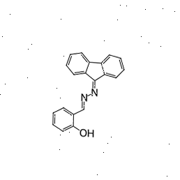 Oc1ccccc1C=NN=C1c2ccccc2-c2ccccc21